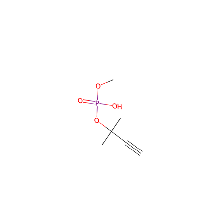 C#CC(C)(C)OP(=O)(O)OC